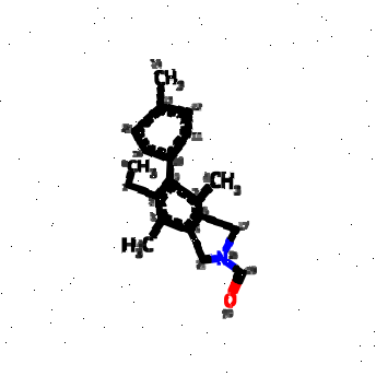 CCc1c(C)c2c(c(C)c1-c1ccc(C)cc1)CN(C=O)C2